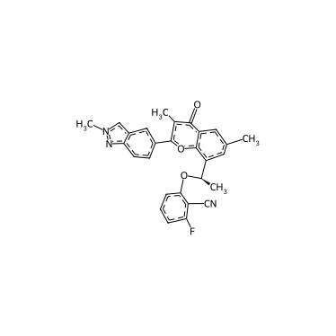 Cc1cc([C@@H](C)Oc2cccc(F)c2C#N)c2oc(-c3ccc4nn(C)cc4c3)c(C)c(=O)c2c1